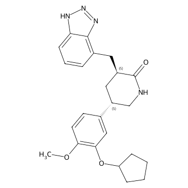 COc1ccc([C@H]2CNC(=O)[C@H](Cc3cccc4[nH]nnc34)C2)cc1OC1CCCC1